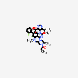 C=CC(=O)N1CC2CN(C)c3c(F)c(-c4c(O)cccc4F)c(F)c4c3c(nc(=O)n4-c3c(C(C)C)ncnc3C(C)C)N2CC1C